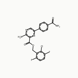 NC(=O)c1ccc(-c2cnc(N)c(C(=O)OCc3c(F)ccc(F)c3Cl)n2)cc1